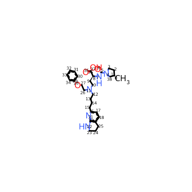 C[C@@H]1CCN(C(=O)N[C@@H](CCN(CCCCc2ccc3c(n2)NCCC3)CCOc2ccccc2)C(=O)O)C1